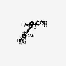 CCC(=O)NS(=O)(=O)c1ccc(NCC#Cc2cc3c(NC4CCN(CC5COC(=O)O5)CC4)cccc3n2CC(F)(F)F)c(OC)c1